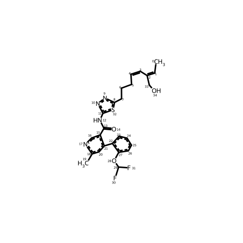 C/C=C(\C=C/CCCc1nnc(NC(=O)c2cnc(C)cc2-c2ccccc2OC(F)F)s1)CO